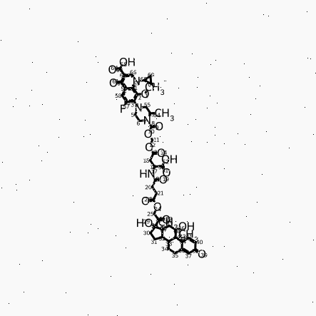 COc1c(N2CCN(C(=O)OCOC(=O)CC(NC(=O)CCC(=O)OCC(=O)[C@@]3(O)CCC4C5CCC6=CC(=O)C=C[C@]6(C)C5[C@@H](O)C[C@@]43C)C(=O)O)C(C)C2)c(F)cc2c(=O)c(C(=O)O)cn(C3CC3)c12